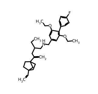 C=CC12CCC(C(=C)CC(CC)CNCc3cc(OCC)c(-c4ccc(F)cc4)c(OCC)c3)(CC1)C2